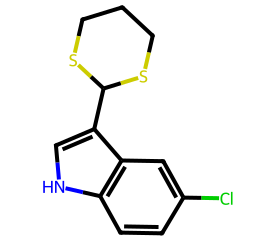 Clc1ccc2[nH]cc(C3SCCCS3)c2c1